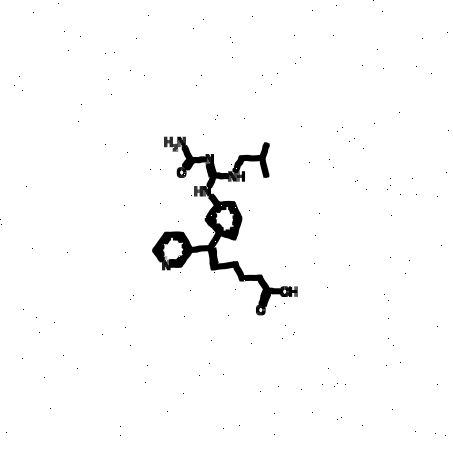 CC(C)CN/C(=N/C(N)=O)Nc1cccc(/C(=C\CCCC(=O)O)c2cccnc2)c1